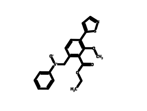 CCOC(=O)c1c(C[S+]([O-])c2ccccc2)ccc(-c2ccns2)c1OC